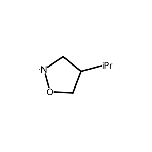 CC(C)C1C[N]OC1